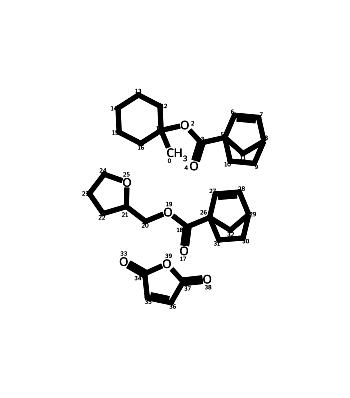 CC1(OC(=O)C23C=CC(CC2)C3)CCCCC1.O=C(OCC1CCCO1)C12C=CC(CC1)C2.O=C1C=CC(=O)O1